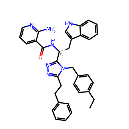 CCc1ccc(Cn2c(CCc3ccccc3)nnc2[C@@H](Cc2c[nH]c3ccccc23)NC(=O)c2cccnc2N)cc1